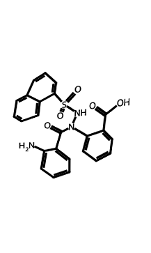 Nc1ccccc1C(=O)N(NS(=O)(=O)c1cccc2ccccc12)c1ccccc1C(=O)O